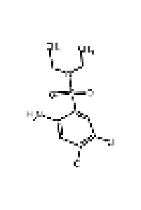 CCN(CC)S(=O)(=O)c1cc(Cl)c(Cl)cc1N